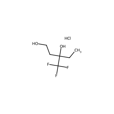 CCC(O)(CCO)C(F)(F)F.Cl